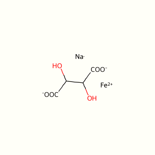 O=C([O-])C(O)C(O)C(=O)[O-].[Fe+2].[Na]